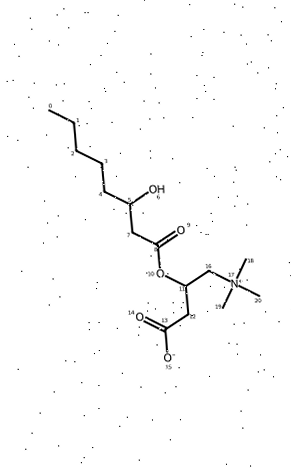 CCCCCC(O)CC(=O)OC(CC(=O)[O-])C[N+](C)(C)C